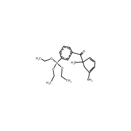 CCO[Si](OCC)(OCC)c1cccc(C(=O)C2(N)C=CC=C(N)C2)c1